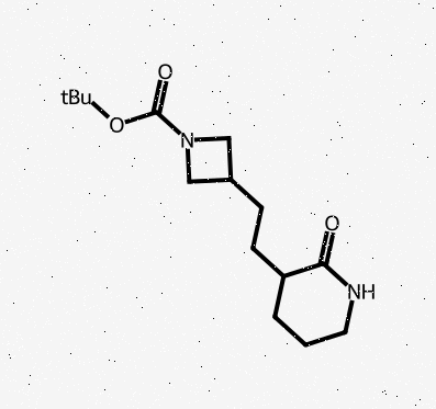 CC(C)(C)OC(=O)N1CC(CCC2CCCNC2=O)C1